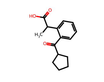 CC(C(=O)O)c1ccccc1C(=O)C1CCCC1